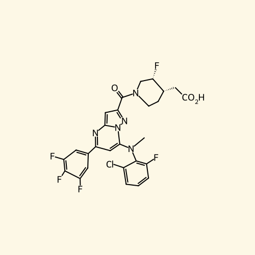 CN(c1c(F)cccc1Cl)c1cc(-c2cc(F)c(F)c(F)c2)nc2cc(C(=O)N3CC[C@@H](CC(=O)O)[C@@H](F)C3)nn12